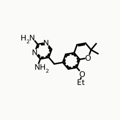 CCOc1cc(Cc2cnc(N)nc2N)cc2c1OC(C)(C)C=C2